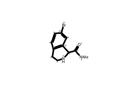 CNC(=O)C1NCCc2ccc(Br)cc21